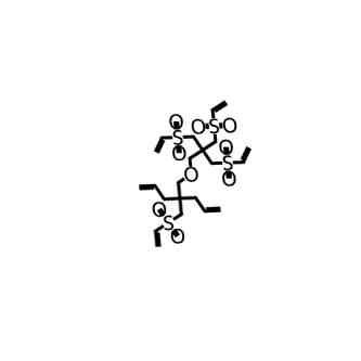 C=CCC(CC=C)(COCC(CS(=O)(=O)C=C)(CS(=O)(=O)C=C)CS(=O)(=O)C=C)CS(=O)(=O)C=C